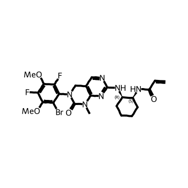 C=CC(=O)N[C@H]1CCCC[C@H]1Nc1ncc2c(n1)N(C)C(=O)N(c1c(F)c(OC)c(F)c(OC)c1Br)C2